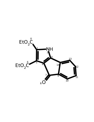 CCOC(=O)c1[nH]c2c(c1C(=O)OCC)C(=O)c1ccccc1-2